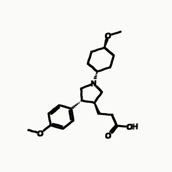 COc1ccc([C@@H]2CN([C@H]3CC[C@H](OC)CC3)C[C@H]2CCC(=O)O)cc1